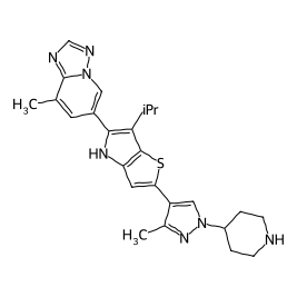 Cc1nn(C2CCNCC2)cc1-c1cc2[nH]c(-c3cc(C)c4ncnn4c3)c(C(C)C)c2s1